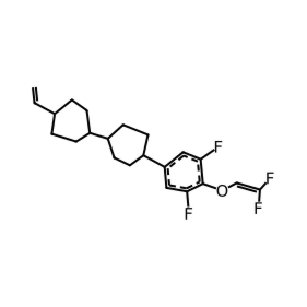 C=CC1CCC(C2CCC(c3cc(F)c(OC=C(F)F)c(F)c3)CC2)CC1